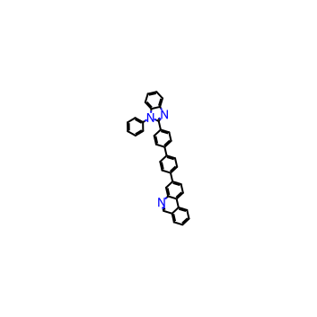 c1ccc(-n2c(-c3ccc(-c4ccc(-c5ccc6c(c5)ncc5ccccc56)cc4)cc3)nc3ccccc32)cc1